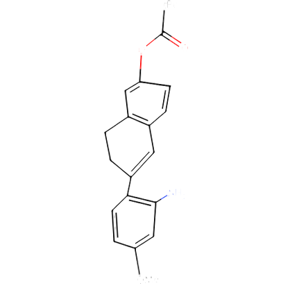 COc1ccc(C2=Cc3ccc(OC(=O)C(C)(C)C)cc3CC2)c(N)c1